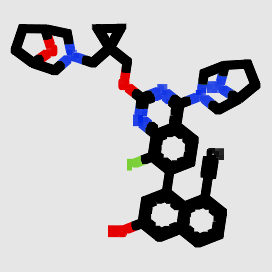 C#Cc1cccc2cc(O)cc(-c3ccc4c(N5CC6CCC(C5)N6)nc(OCC5(CN6CC7CCC(C6)O7)CC5)nc4c3F)c12